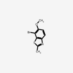 COc1ccc2nc(C)sc2c1Br